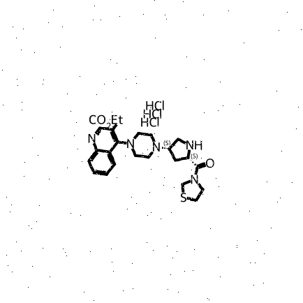 CCOC(=O)c1cnc2ccccc2c1N1CCN([C@@H]2CN[C@H](C(=O)N3CCSC3)C2)CC1.Cl.Cl.Cl